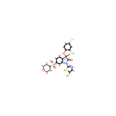 CC(Oc1ccc(F)cc1F)(C(=O)Nc1ncc(F)s1)c1ccc(S(=O)(=O)C2CCOCC2)cc1